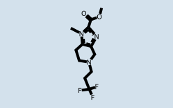 COC(=O)c1nc2c(n1C)CCN(CCC(F)(F)F)C2